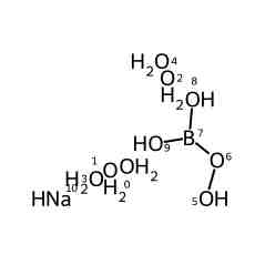 O.O.O.O.O.OOB(O)O.[NaH]